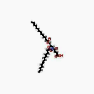 CCCCCCCCCCCCCC(=O)OC[C@@H](CNC(=O)CCC(=O)O)OC(=O)CCCCCCCCCCCCC